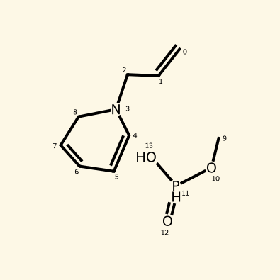 C=CCN1C=CC=CC1.CO[PH](=O)O